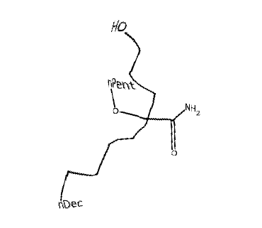 CCCCCCCCCCCCCCC(CCCO)(OCCCCC)C(N)=O